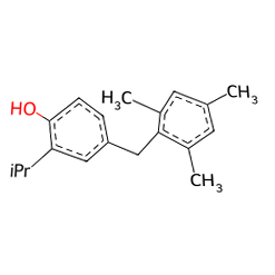 Cc1cc(C)c(Cc2ccc(O)c(C(C)C)c2)c(C)c1